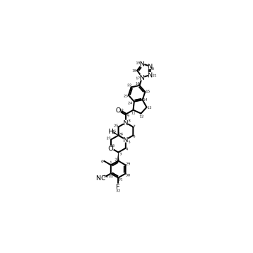 Cc1c([C@@H]2CN3CCN(C(=O)C4CCc5cc(-n6cnnn6)ccc54)C[C@H]3CO2)ccc(F)c1C#N